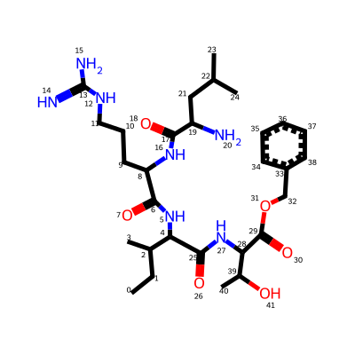 CCC(C)C(NC(=O)C(CCCNC(=N)N)NC(=O)C(N)CC(C)C)C(=O)NC(C(=O)OCc1ccccc1)C(C)O